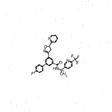 C[C@@H](NC(=O)c1cc(C2=NOC(c3ccccn3)C2)cc(-c2ccc(F)cc2)c1)c1ccc(C(F)(F)F)nc1